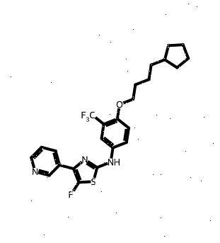 Fc1sc(Nc2ccc(OCCCCC3CCCC3)c(C(F)(F)F)c2)nc1-c1cccnc1